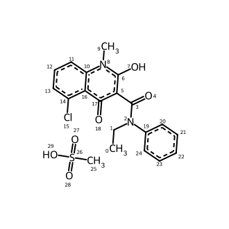 CCN(C(=O)c1c(O)n(C)c2cccc(Cl)c2c1=O)c1ccccc1.CS(=O)(=O)O